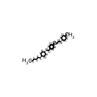 CCCCCC[C@H]1CC[C@H](CCc2ccc(OCCC[C@H]3CC[C@H](C)CC3)cc2)CC1